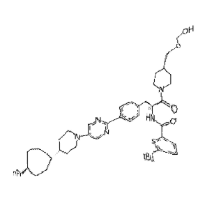 CCC[C@H]1CC[C@H](C2CCN(c3cnc(-c4ccc(C[C@H](NC(=O)c5ccc(C(C)(C)C)s5)C(=O)N5CCC(COCO)CC5)cc4)nc3)CC2)CC1